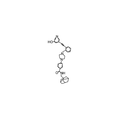 O=C(NCC12CC3CC(CC(C3)C1)C2)c1ccc(N2CCN(Cc3ccccc3C#Cc3cncc(O)c3)CC2)cc1